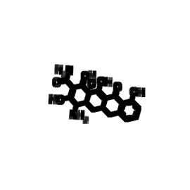 NC(=O)C1=C(O)C(N)C2CC3Cc4cccc(O)c4C(=O)C3=C(O)[C@]2(O)C1=O